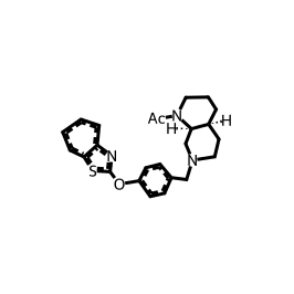 CC(=O)N1CCC[C@H]2CCN(Cc3ccc(Oc4nc5ccccc5s4)cc3)C[C@H]21